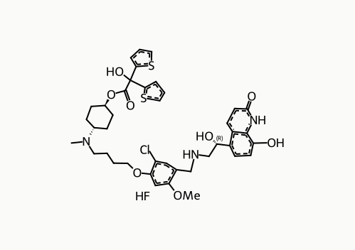 COc1cc(OCCCCN(C)[C@H]2CC[C@H](OC(=O)C(O)(c3cccs3)c3cccs3)CC2)c(Cl)cc1CNC[C@H](O)c1ccc(O)c2[nH]c(=O)ccc12.F